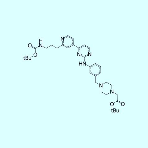 CC(C)(C)OC(=O)CN1CCN(Cc2cccc(Nc3nccc(-c4ccnc(CCCNC(=O)OC(C)(C)C)c4)n3)c2)CC1